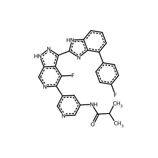 CC(C)C(=O)Nc1cncc(-c2ncc3[nH]nc(-c4nc5c(-c6ccc(F)cc6)cccc5[nH]4)c3c2F)c1